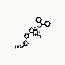 OCc1cnn([C@@H]2C=C[C@H](n3cnc4c(NCC(c5ccccc5)c5ccccc5)nc(Cl)nc43)C2)c1